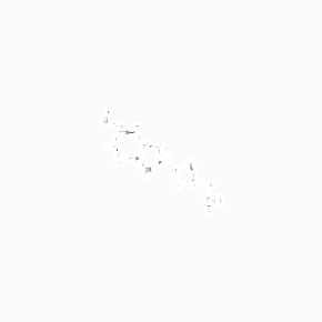 OCC1CC(n2cc3cc(Br)ccc3n2)C1